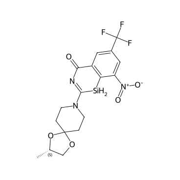 C[C@H]1COC2(CCN(C3=NC(=O)c4cc(C(F)(F)F)cc([N+](=O)[O-])c4[SiH2]3)CC2)O1